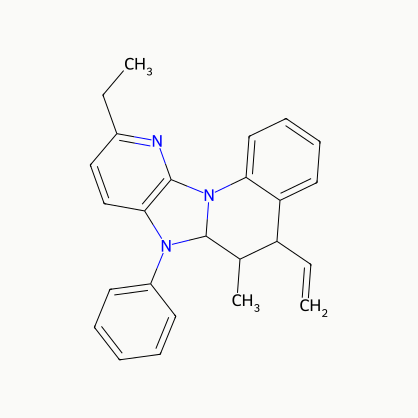 C=CC1c2ccccc2N2c3nc(CC)ccc3N(c3ccccc3)C2C1C